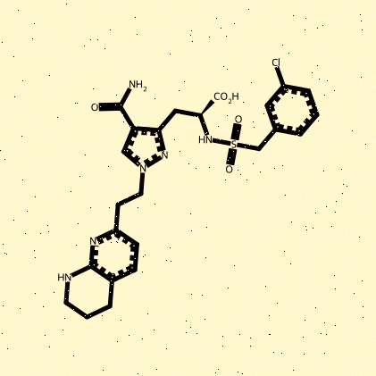 NC(=O)c1cn(CCc2ccc3c(n2)NCCC3)nc1C[C@H](NS(=O)(=O)Cc1cccc(Cl)c1)C(=O)O